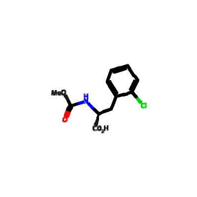 COC(=O)N[C@@H](Cc1ccccc1Cl)C(=O)O